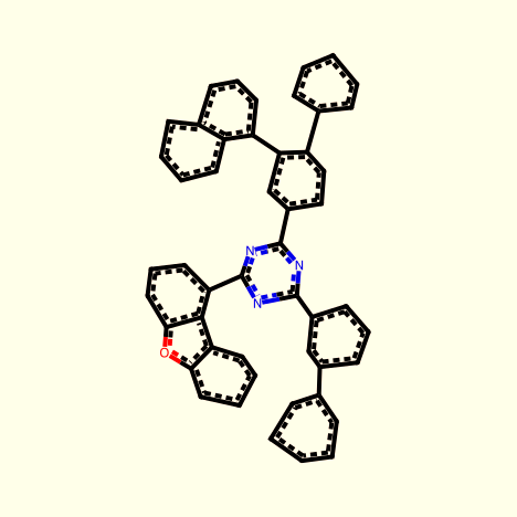 c1ccc(-c2cccc(-c3nc(-c4ccc(-c5ccccc5)c(-c5cccc6ccccc56)c4)nc(-c4cccc5oc6ccccc6c45)n3)c2)cc1